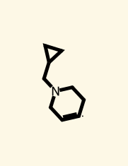 [C]1=CCN(CC2CC2)CC1